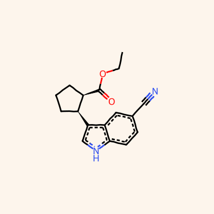 CCOC(=O)[C@@H]1CCC[C@@H]1c1c[nH]c2ccc(C#N)cc12